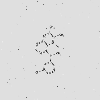 Cc1cc2ncnc(N(C)c3cccc(Cl)c3)c2c(I)c1C